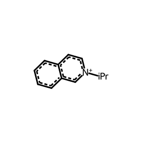 CC(C)[n+]1ccc2ccccc2c1